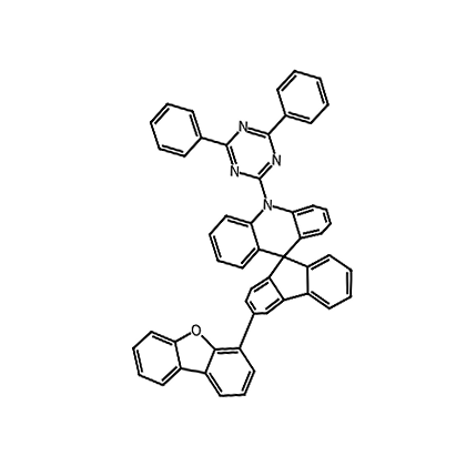 c1ccc(-c2nc(-c3ccccc3)nc(N3c4ccccc4C4(c5ccccc5-c5cc(-c6cccc7c6oc6ccccc67)ccc54)c4ccccc43)n2)cc1